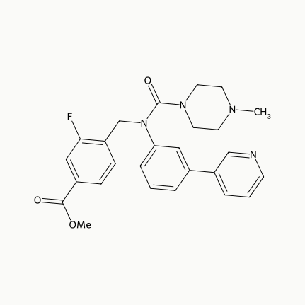 COC(=O)c1ccc(CN(C(=O)N2CCN(C)CC2)c2cccc(-c3cccnc3)c2)c(F)c1